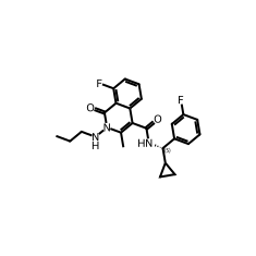 CCCNn1c(C)c(C(=O)N[C@H](c2cccc(F)c2)C2CC2)c2cccc(F)c2c1=O